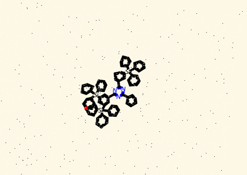 c1ccc(-c2nc(-c3cccc([Si](c4ccccc4)(c4ccccc4)c4ccccc4)c3)nc(-c3cc([Si](c4ccccc4)(c4ccccc4)c4ccccc4)cc([Si](c4ccccc4)(c4ccccc4)c4ccccc4)c3)n2)cc1